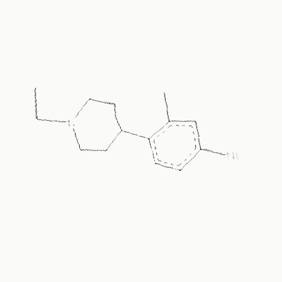 CCN1CCC(c2ccc(N)cc2C)CC1